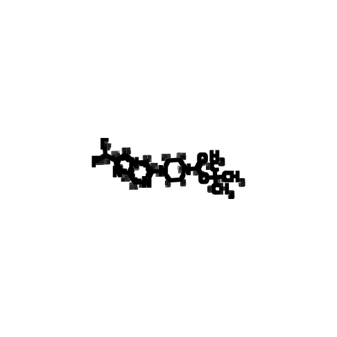 CC(C)(C)OC(=O)N1CCN(c2cn3cc(C(F)F)nc3cn2)CC1